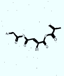 C=C(C)C(=O)OC(=O)/C(=C/C(=O)OC(=O)CC(C)=O)CC